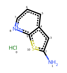 Cl.Nc1cc2cccnc2s1